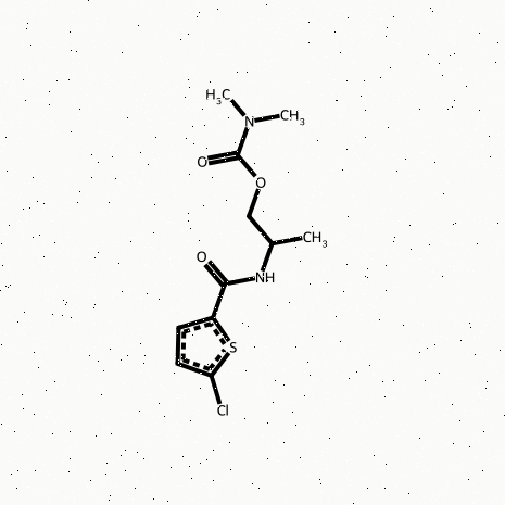 CC(COC(=O)N(C)C)NC(=O)c1ccc(Cl)s1